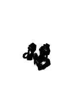 CN1CCN(c2c(CN3CCC(=O)C3c3ccccn3)nc3ccccn23)CC1